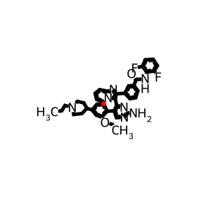 CCCN1CCC(c2ccc(-c3cnc(N)nc3-c3c(-c4cccc(C(=O)Nc5c(F)cccc5F)c4)nc4ccccn34)c(OCC)c2)CC1